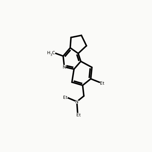 CCc1cc2c3c(c(C)nc2cc1CN(CC)CC)CCC3